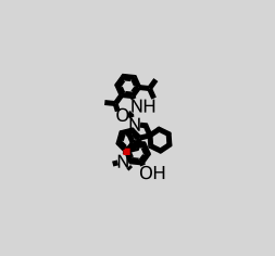 CC(C)c1cccc(C(C)C)c1NC(=O)N(Cc1ccc(O)cc1)CC1(c2cccc(N(C)C)c2)CCCCC1